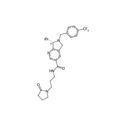 CC(C)[C@H]1c2ncc(C(=O)NCCCN3CCCC3=O)cc2CN1Cc1ccc(C(F)(F)F)cc1